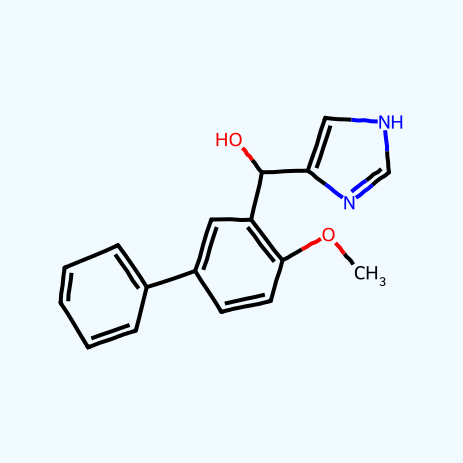 COc1ccc(-c2ccccc2)cc1C(O)c1c[nH]cn1